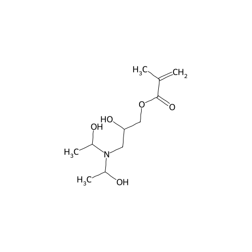 C=C(C)C(=O)OCC(O)CN(C(C)O)C(C)O